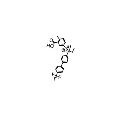 CCN(c1ccc(-c2ccc(C(F)(F)F)cc2)cc1)S(=O)(=O)c1ccc(C)c(C(=O)O)c1